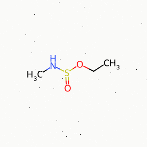 CCOS(=O)NC